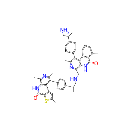 Cc1cc2c(s1)c(=O)[nH]c1c(C)nc(C)c(-c3ccc(C(C)CNCc4nc(C)c(-c5ccc(C(C)CN)cc5)c5c4[nH]c(=O)c4c(C)cccc45)cc3)c12